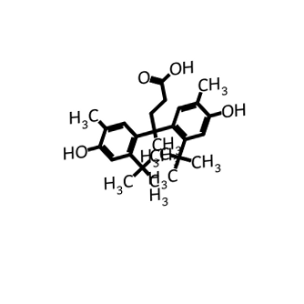 Cc1cc(C(C)(CCC(=O)O)c2cc(C)c(O)cc2C(C)(C)C)c(C(C)(C)C)cc1O